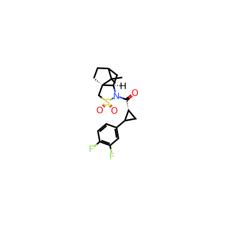 CC1(C)C2CC[C@]13CS(=O)(=O)N(C(=O)[C@@H]1CC1c1ccc(F)c(F)c1)[C@@H]3C2